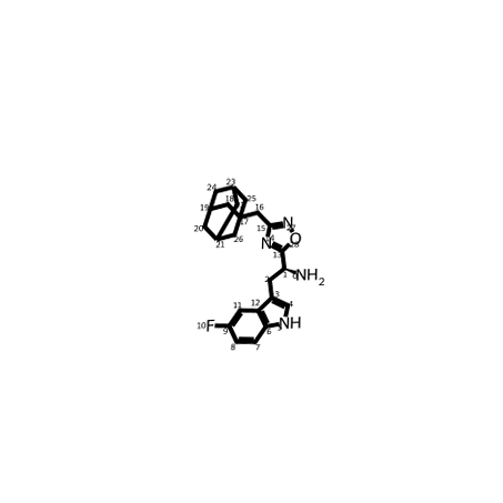 N[C@@H](Cc1c[nH]c2ccc(F)cc12)c1nc(CC23CC4CC(CC(C4)C2)C3)no1